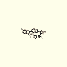 CC(C)c1n[nH]cc1-c1cc2c(N[C@@H]3CC[C@H](N)C3)c(/C(N)=N/c3cc(F)ccc3Cl)cnn2c1